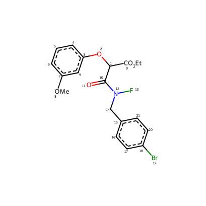 CCOC(=O)C(Oc1cccc(OC)c1)C(=O)N(F)Cc1ccc(Br)cc1